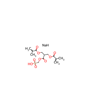 C=C(C)C(=O)OCC(COC(=O)C(=C)C)C(=O)OCS(=O)(=O)O.[NaH]